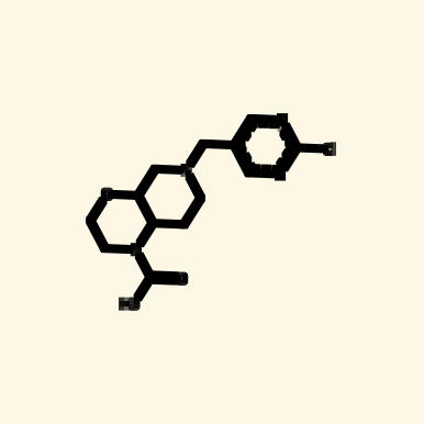 O=C(O)N1CCOC2CN(Cc3cnc(Cl)nc3)CCC21